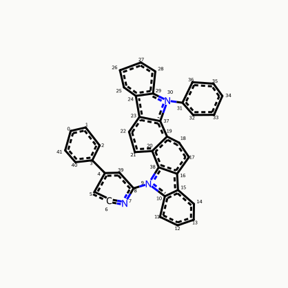 c1ccc(-c2ccnc(-n3c4ccccc4c4ccc5c(ccc6c7ccccc7n(-c7ccccc7)c65)c43)c2)cc1